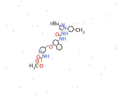 CCCCc1cc(NC(=O)Nc2ccc(OCc3ccnc(NC(=O)CS(C)(=O)=O)c3)c3ccccc23)n(-c2ccc(C)cc2)n1